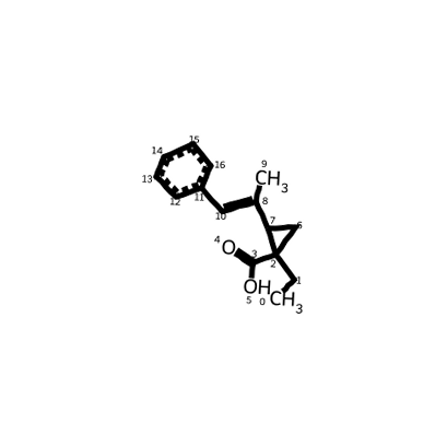 CCC1(C(=O)O)CC1C(C)=Cc1ccccc1